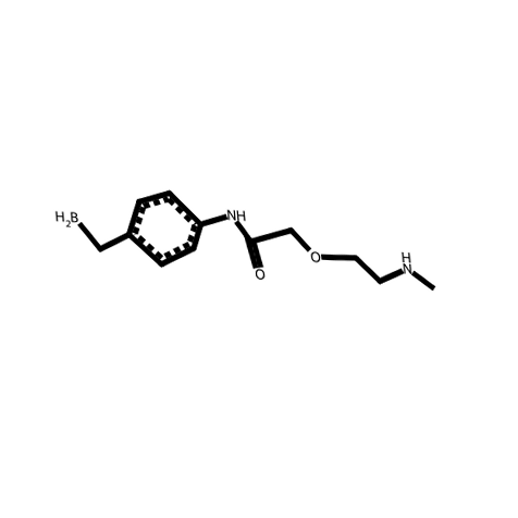 BCc1ccc(NC(=O)COCCNC)cc1